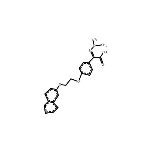 CN(C)N=C(C(=O)O)c1ccc(OCCOc2ccc3ccccc3c2)cc1